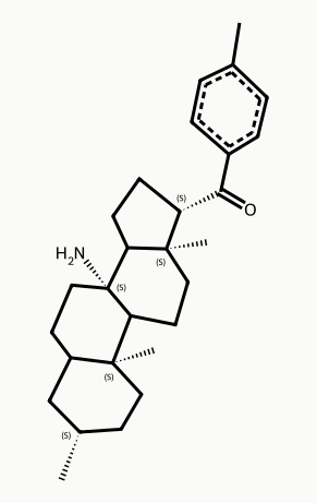 Cc1ccc(C(=O)[C@H]2CCC3[C@]4(N)CCC5C[C@@H](C)CC[C@]5(C)C4CC[C@@]32C)cc1